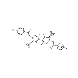 CC1=C(c2c(C)cc(OC(=O)c3ccc(O)cc3)c(-n3oo3)c2C)C(C)[C@@H](n2oo2)C(OC(=O)C23CCC(C)(CC2)CC3)=C1